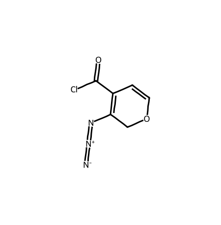 [N-]=[N+]=NC1=C(C(=O)Cl)C=COC1